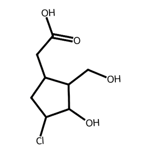 O=C(O)CC1CC(Cl)C(O)C1CO